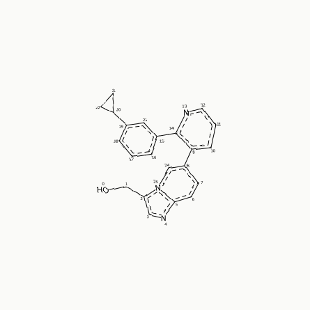 OCc1cnc2ccc(-c3cccnc3-c3cccc(C4CC4)c3)cn12